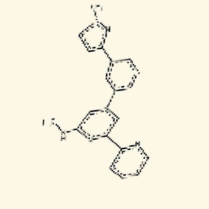 CNc1cc(-c2cncc(-c3ccn(C)n3)c2)cc(-c2ccccn2)n1